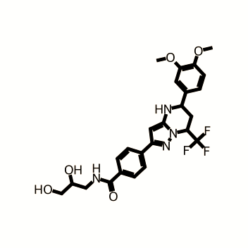 COc1ccc(C2CC(C(F)(F)F)n3nc(-c4ccc(C(=O)NCC(O)CO)cc4)cc3N2)cc1OC